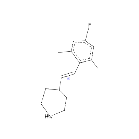 Cc1cc(F)cc(C)c1/C=C/C1CCNCC1